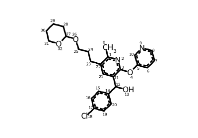 Cc1nc(Oc2cccnc2)c(C(O)c2ccc(Cl)cc2)cc1CCCOC1CCCCO1